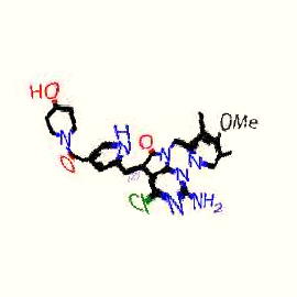 COc1c(C)cnc(CN2C(=O)/C(=C\c3cc(C(=O)N4CCC(O)CC4)c[nH]3)c3c(Cl)nc(N)nc32)c1C